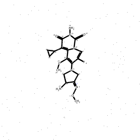 CO/N=C1/CN(c2c(F)cn3c(=O)n(N)c(=O)c(C4CC4)c3c2OC)CC1N